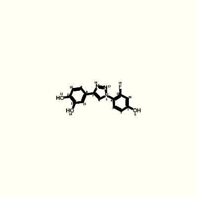 Oc1ccc(-n2cc(-c3ccc(O)c(O)c3)nn2)c(F)c1